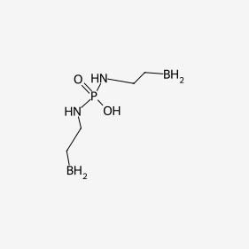 BCCNP(=O)(O)NCCB